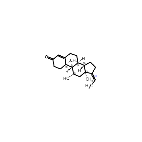 C/C=C1/CC[C@H]2[C@@H]3CCC4=CC(=O)CC[C@]4(C)[C@H]3[C@@H](O)C[C@]12C